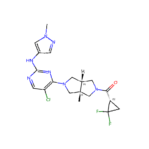 Cn1cc(Nc2ncc(Cl)c(N3C[C@@H]4CN(C(=O)[C@@H]5CC5(F)F)C[C@]4(C)C3)n2)cn1